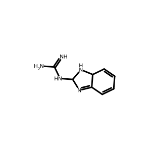 N=C(N)NC1N=C2C=CC=CC2N1